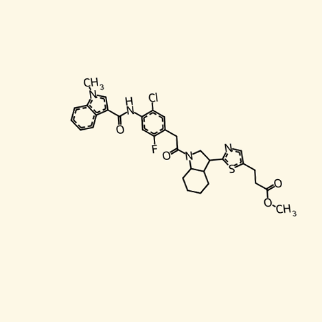 COC(=O)CCc1cnc(C2CN(C(=O)Cc3cc(Cl)c(NC(=O)c4cn(C)c5ccccc45)cc3F)C3CCCCC23)s1